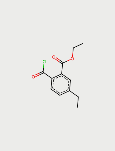 CCOC(=O)c1cc(CC)ccc1C(=O)Cl